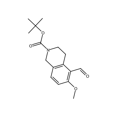 COc1ccc2c(c1C=O)CCN(C(=O)OC(C)(C)C)C2